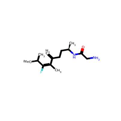 C=C(CC[C@@H](C)NC(=O)CN)/C(C)=C(/F)C(C)OC